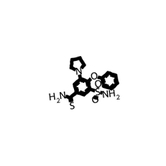 NC(=S)c1cc(N2CCCC2)c(Oc2ccccc2)c(S(N)(=O)=O)c1